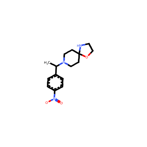 CC(c1ccc([N+](=O)[O-])cc1)N1CCC2(CC1)NCCO2